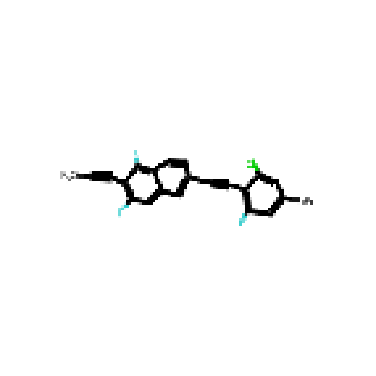 CCCc1cc(F)c(C#Cc2ccc3c(F)c(C#CC(F)(F)F)c(F)cc3c2)c(Cl)c1